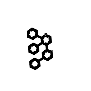 b1ccc(-c2cc(-c3ccccc3)ccn2)c(-c2ccccc2)c1-c1ccccc1